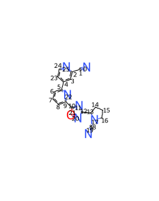 N#Cc1cc(-c2cccc(-c3nc(C4CCCN4C#N)no3)n2)ccn1